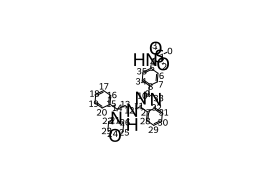 CS(=O)(=O)Nc1ccc(-c2nc(NCC(c3ccccc3)N3CCOCC3)c3ccccc3n2)cc1